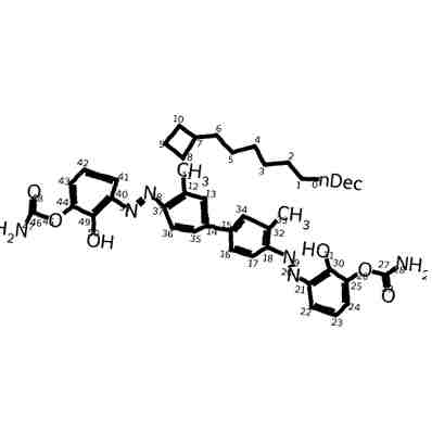 CCCCCCCCCCCCCCCCC1CCC1.Cc1cc(-c2ccc(N=Nc3cccc(OC(N)=O)c3O)c(C)c2)ccc1N=Nc1cccc(OC(N)=O)c1O